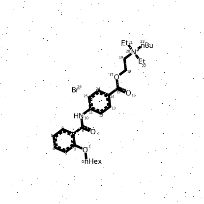 CCCCCCOc1ccccc1C(=O)Nc1ccc(C(=O)OCC[N+](CC)(CC)CCCC)cc1.[Br-]